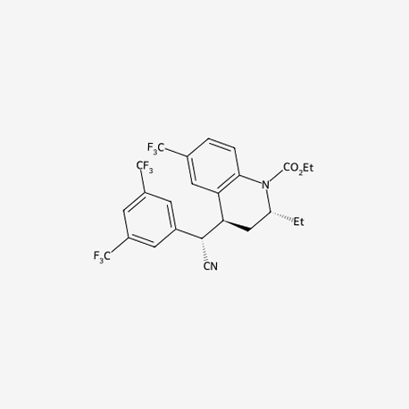 CCOC(=O)N1c2ccc(C(F)(F)F)cc2[C@H]([C@H](C#N)c2cc(C(F)(F)F)cc(C(F)(F)F)c2)C[C@H]1CC